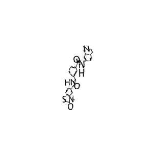 CN1CCc2ccc(NC(=O)c3cccc(CNC(=O)c4ccc5c(c4)N(C)C(=O)CS5)c3)cc2C1